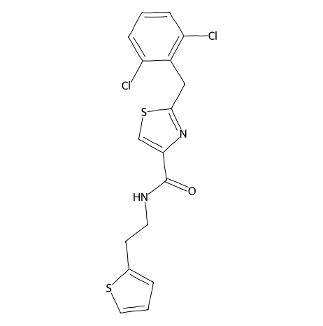 O=C(NCCc1cccs1)c1csc(Cc2c(Cl)cccc2Cl)n1